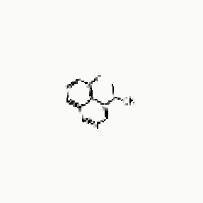 CC(C#N)c1cncc2cccc(F)c12